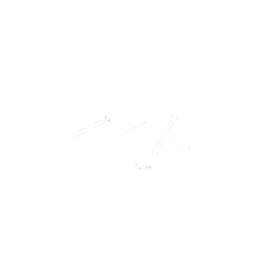 O=S(=O)(O)CCN=C=S.[NaH]